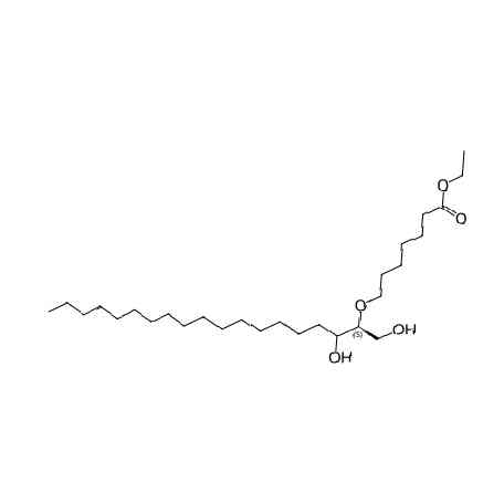 CCCCCCCCCCCCCCCCC(O)[C@H](CO)OCCCCCCC(=O)OCC